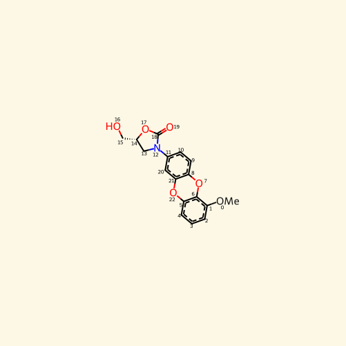 COc1cccc2c1Oc1ccc(N3C[C@H](CO)OC3=O)cc1O2